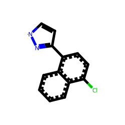 Clc1ccc(C2=N[N]C=C2)c2ccccc12